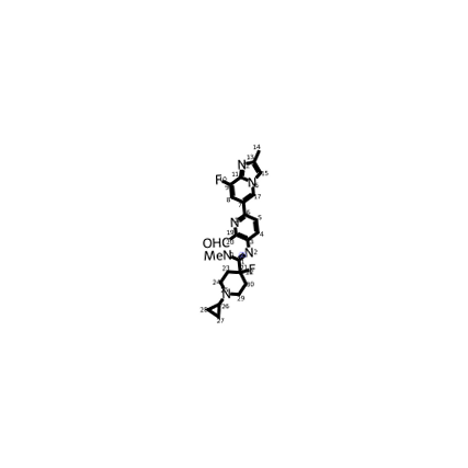 CN/C(=N\c1ccc(-c2cc(F)c3nc(C)cn3c2)nc1C=O)C1(F)CCN(C2CC2)CC1